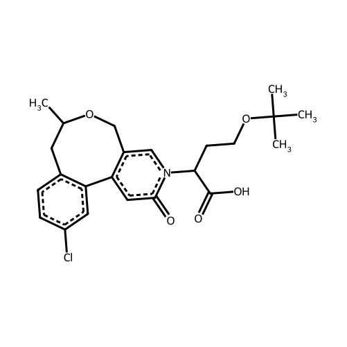 CC1Cc2ccc(Cl)cc2-c2cc(=O)n(C(CCOC(C)(C)C)C(=O)O)cc2CO1